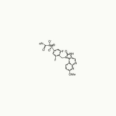 CCCC(=O)[NH+]([O-])S(=O)(=O)c1cc(F)c(Cn2c(=O)[nH]c3cnc4nc(OC)ccc4c32)c(F)c1